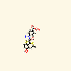 COc1ccc2sc(C(=O)Nc3ccc(C(=O)O)cc3)c(SC(C)C)c2c1